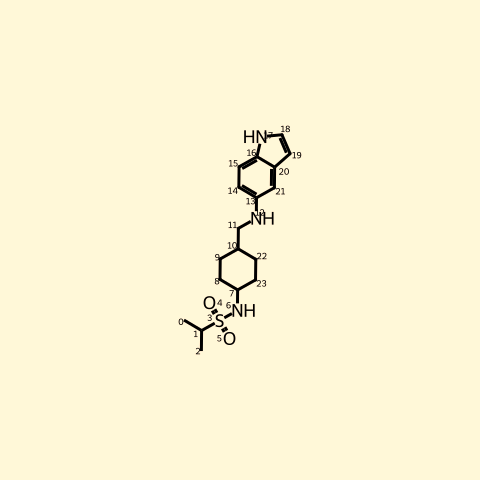 CC(C)S(=O)(=O)NC1CCC(CNc2ccc3[nH]ccc3c2)CC1